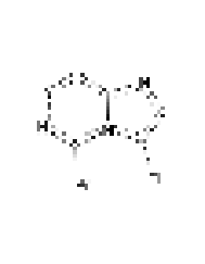 CC(C)c1nccc2ncc(Cl)n12